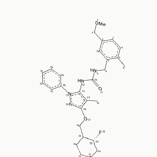 COCc1ccc(C)c(CNC(=O)Nc2c(C)c(OCC3CCNC[C@H]3F)nn2-c2ccccc2)c1